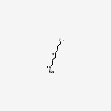 CCCCNCCCNCCCN